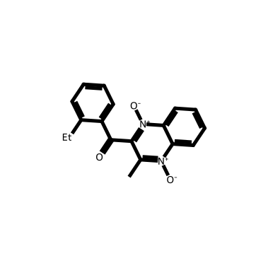 CCc1ccccc1C(=O)c1c(C)[n+]([O-])c2ccccc2[n+]1[O-]